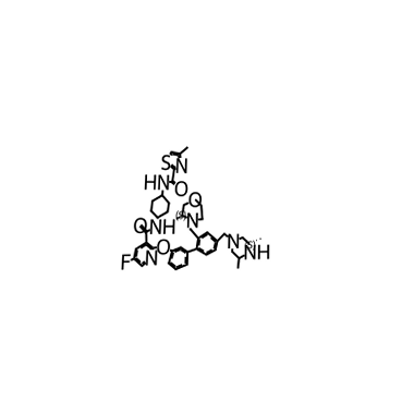 Cc1csc(C(=O)NC2CCC(NC(=O)c3cc(F)cnc3Oc3cccc(-c4ccc(CN5CC(C)N[C@@H](C)C5)cc4CN4CCOC[C@@H]4C)c3)CC2)n1